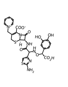 Nc1nc(C(NO[C@H](C(=O)O)c2ccc(O)c(O)c2)C(=O)N[C@@H]2C(=O)N3C(C(=O)[O-])=C(C[n+]4ccccc4)CS[C@H]23)cs1